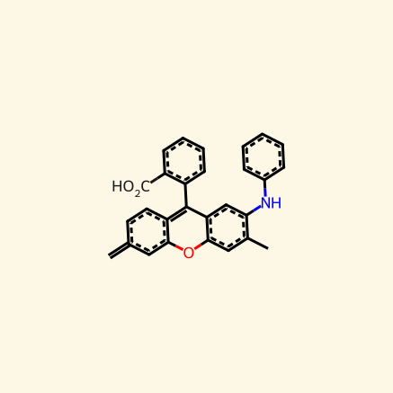 C=c1ccc2c(c1)Oc1cc(C)c(Nc3ccccc3)cc1C=2c1ccccc1C(=O)O